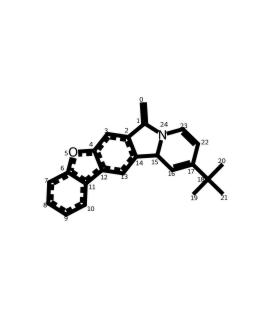 C=C1c2cc3oc4ccccc4c3cc2C2C=C(C(C)(C)C)C=CN12